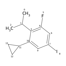 CC(C)c1c(F)cc(I)cc1C1CC1